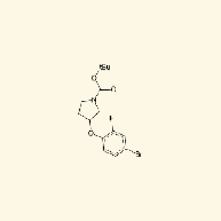 CC(C)(C)OC(=O)N1CCC(Oc2ccc(Br)cc2F)C1